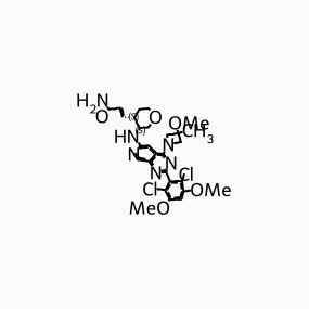 COc1cc(OC)c(Cl)c(-c2nc(N3CC(C)(OC)C3)c3cc(N[C@@H]4COCC[C@H]4C=CC(N)=O)ncc3n2)c1Cl